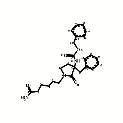 NC(=O)CCCCCN1CCC(Cc2ccccc2)(NC(=O)OCc2ccccc2)C1=O